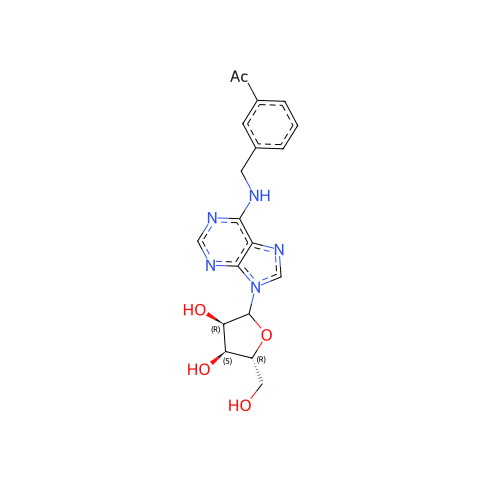 CC(=O)c1cccc(CNc2ncnc3c2ncn3C2O[C@H](CO)[C@@H](O)[C@H]2O)c1